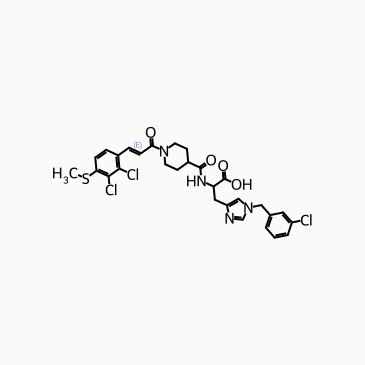 CSc1ccc(/C=C/C(=O)N2CCC(C(=O)NC(Cc3cn(Cc4cccc(Cl)c4)cn3)C(=O)O)CC2)c(Cl)c1Cl